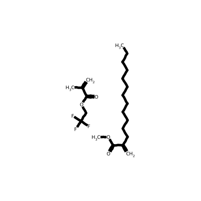 C=C(C)C(=O)OCC(F)(F)F.C=C(CCCCCCCCCCCC)C(=O)OC